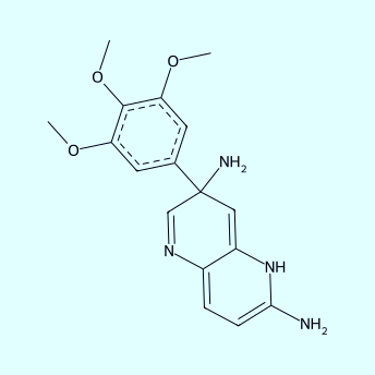 COc1cc(C2(N)C=NC3=CC=C(N)NC3=C2)cc(OC)c1OC